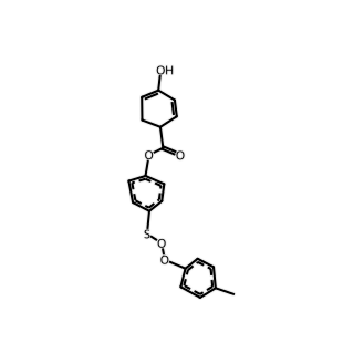 Cc1ccc(OOSc2ccc(OC(=O)C3C=CC(O)=CC3)cc2)cc1